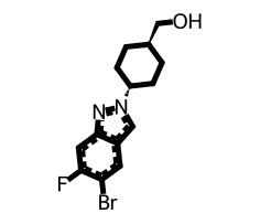 OC[C@H]1CC[C@H](n2cc3cc(Br)c(F)cc3n2)CC1